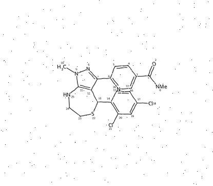 CNC(=O)c1ccc(-c2nn(C)c3c2C(c2ccc(Cl)cc2Cl)SCCN3)nc1